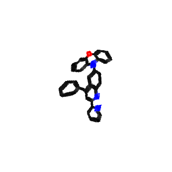 c1ccc(-c2cc(-c3ccccn3)nc3ccc(N4c5ccccc5Oc5ccccc54)cc23)cc1